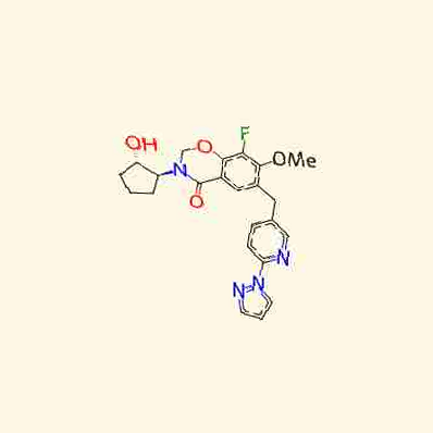 COc1c(Cc2ccc(-n3cccn3)nc2)cc2c(c1F)OCN([C@H]1CCC[C@@H]1O)C2=O